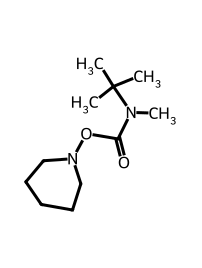 CN(C(=O)ON1CCCCC1)C(C)(C)C